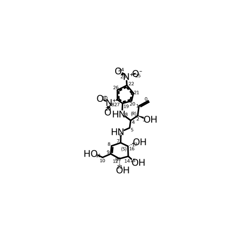 C=C[C@@H](O)C(CNC1C=C(CO)[C@@H](O)C(O)[C@H]1O)Nc1ccc([N+](=O)[O-])cc1[N+](=O)[O-]